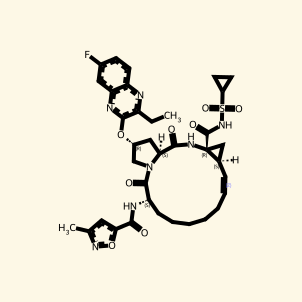 CCc1nc2ccc(F)cc2nc1O[C@@H]1C[C@H]2C(=O)N[C@]3(C(=O)NS(=O)(=O)C4CC4)C[C@H]3/C=C\CCCCC[C@H](NC(=O)c3cc(C)no3)C(=O)N2C1